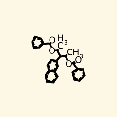 CC(OC(=O)c1ccccc1)C(c1ccc2ccccc2c1)C(C)OC(=O)c1ccccc1